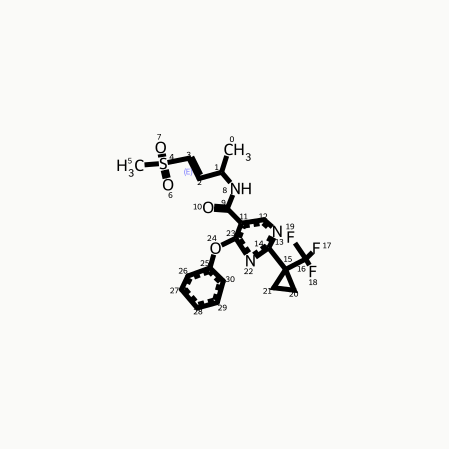 CC(/C=C/S(C)(=O)=O)NC(=O)c1cnc(C2(C(F)(F)F)CC2)nc1Oc1ccccc1